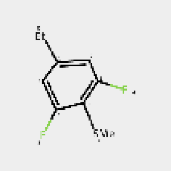 CCc1cc(F)c(SC)c(F)c1